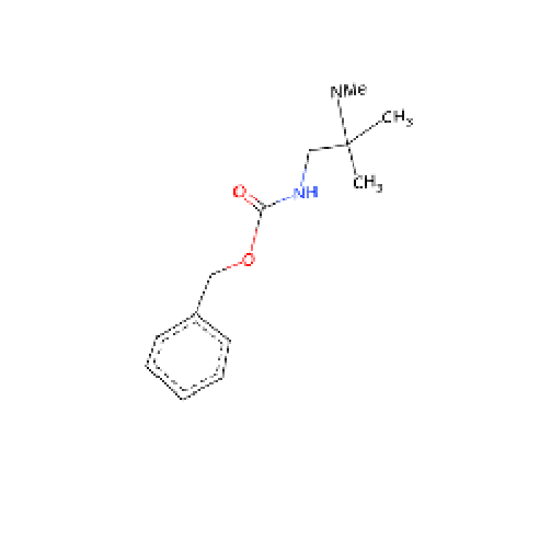 CNC(C)(C)CNC(=O)OCc1ccccc1